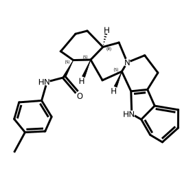 Cc1ccc(NC(=O)[C@H]2CCC[C@H]3CN4CCc5c([nH]c6ccccc56)[C@@H]4C[C@@H]32)cc1